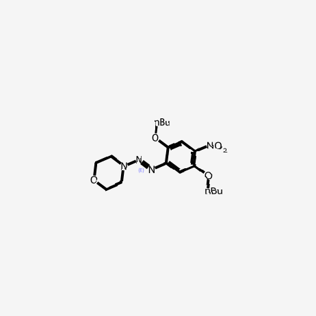 CCCCOc1cc([N+](=O)[O-])c(OCCCC)cc1/N=N/N1CCOCC1